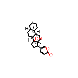 C[C@]12CC[CH]C[C@@H]1CC[C@@H]1[C@@H]2CC[C@]2(C)[C@@H](c3ccc(=O)oc3)CC[C@]12O